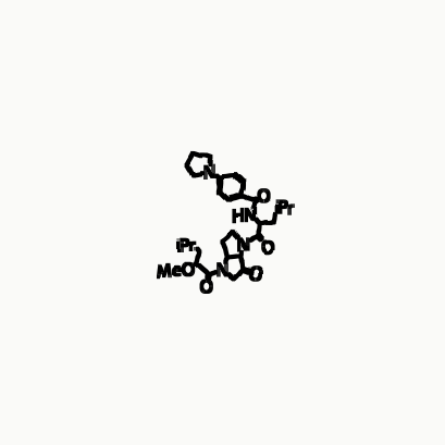 COC(CC(C)C)C(=O)N1CC(=O)C2C1CCN2C(=O)C(CC(C)C)NC(=O)c1ccc(N2CCCC2)cc1